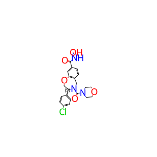 O=C(NO)c1ccc2c(c1)OC[C@H](c1ccc(Cl)cc1)N(C(=O)N1CCOCC1)C2